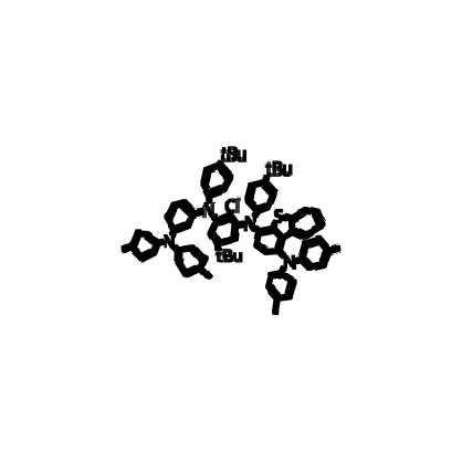 Cc1ccc(N(c2ccc(C)cc2)c2cccc(N(c3ccc(C(C)(C)C)cc3)c3cc(C(C)(C)C)cc(N(c4ccc(C(C)(C)C)cc4)c4ccc(N(c5ccc(C)cc5)c5ccc(C)cc5)c5c4sc4ccccc45)c3Cl)c2)cc1